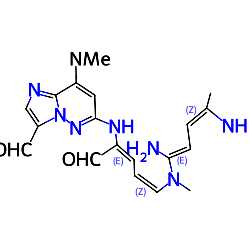 CNc1cc(N/C(C=O)=C/C=C\N(C)/C(N)=C/C=C(/C)N)nn2c(C=O)cnc12